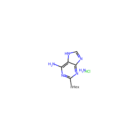 CCCCCCc1nc(N)c2[nH]cnc2n1.Cl.N